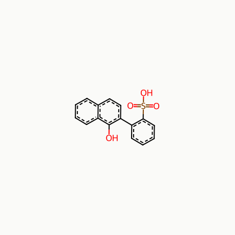 O=S(=O)(O)c1ccccc1-c1ccc2ccccc2c1O